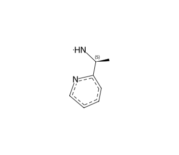 C[C@H]([NH])c1ccccn1